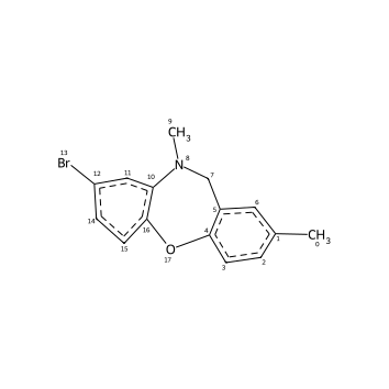 Cc1ccc2c(c1)CN(C)c1cc(Br)ccc1O2